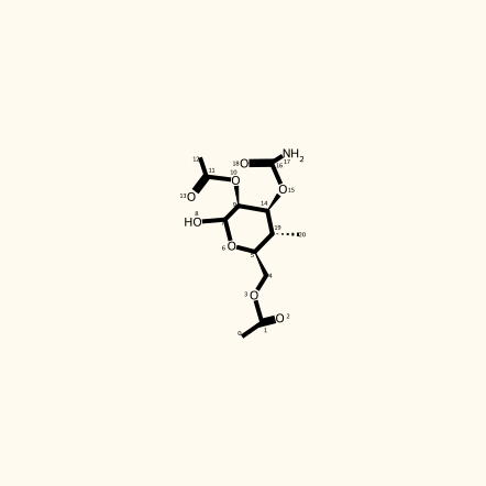 CC(=O)OC[C@H]1OC(O)[C@@H](OC(C)=O)[C@@H](OC(N)=O)[C@@H]1C